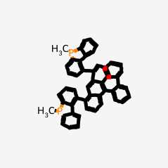 Cp1c2ccccc2c2c(-c3cccc4c(-c5ccccc5-c5ccccc5)c5cccc(-c6cccc7c6c6ccccc6p7C)c5cc34)cccc21